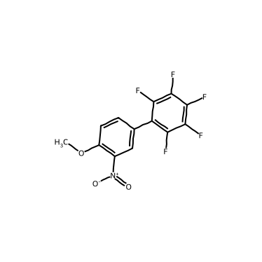 COc1ccc(-c2c(F)c(F)c(F)c(F)c2F)cc1[N+](=O)[O-]